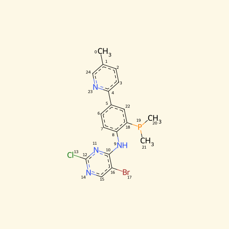 Cc1ccc(-c2ccc(Nc3nc(Cl)ncc3Br)c(P(C)C)c2)nc1